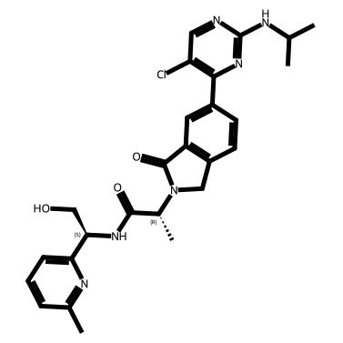 Cc1cccc([C@@H](CO)NC(=O)[C@@H](C)N2Cc3ccc(-c4nc(NC(C)C)ncc4Cl)cc3C2=O)n1